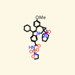 COc1ccc2c(c1)C1CC1(C(=O)N1C3CCC1CN(C)C3)Cn1c-2c(C2CCCCC2)c2ccc(C(=O)NS(=O)(=O)N3CCCO3)cc21